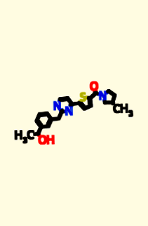 CC1CCN(C(=O)c2ccc(-c3ccnc(Cc4cccc(C(C)O)c4)n3)s2)C1